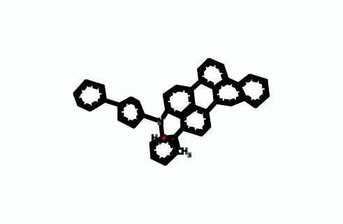 CC(C)c1ccc(-c2cc3ccccc3c3cccc(-c4ccc(N(c5ccccc5)c5ccc(-c6ccccc6)cc5)cc4)c23)cc1